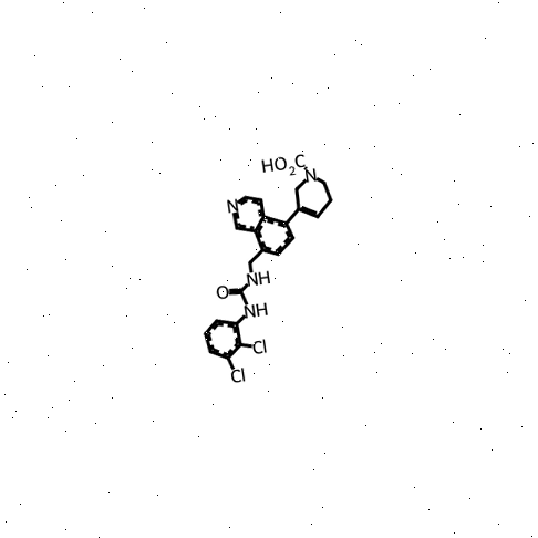 O=C(NCc1ccc(C2=CCCN(C(=O)O)C2)c2ccncc12)Nc1cccc(Cl)c1Cl